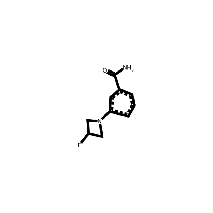 NC(=O)c1cccc(N2CC(F)C2)c1